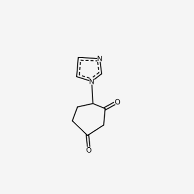 O=C1CCC(n2ccnc2)C(=O)C1